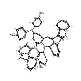 CC(C)(C)C1=CCC2B3c4cccc5c4C(=Cc4cc(N(c6ccc(C(C)(C)C)cc6)c6ccc(C(C)(C)C)cc6)cc(c43)C(c3cccc4oc6ccccc6c34)C2=C1)c1c-5oc2ccccc12